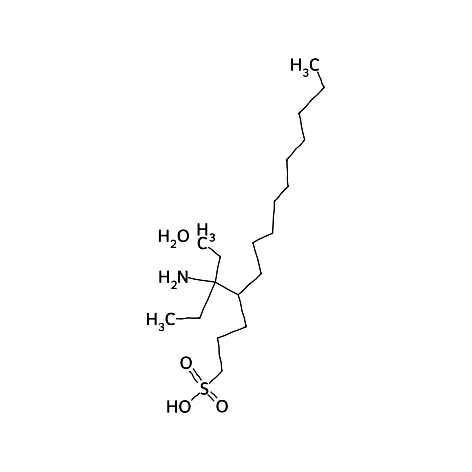 CCCCCCCCCCC(CCCS(=O)(=O)O)C(N)(CC)CC.O